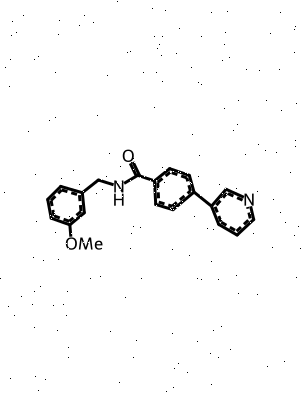 COc1cccc(CNC(=O)c2ccc(-c3cccnc3)cc2)c1